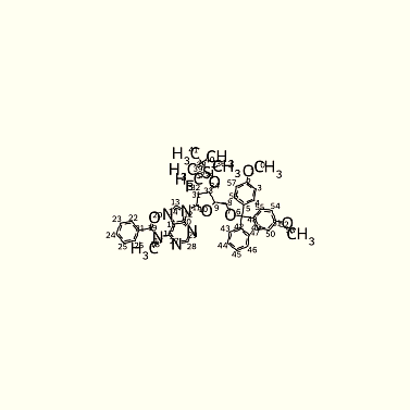 COc1ccc(C(OC[C@H]2O[C@@H](n3cnc4c(N(C)C(=O)c5ccccc5)ncnc43)[C@H](F)[C@@H]2O[Si](C)(C)C(C)(C)C)(c2ccccc2)c2ccc(OC)cc2)cc1